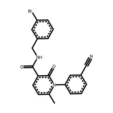 Cc1ccc(C(=O)NCc2cccc(Br)c2)c(=O)n1-c1cccc(C#N)c1